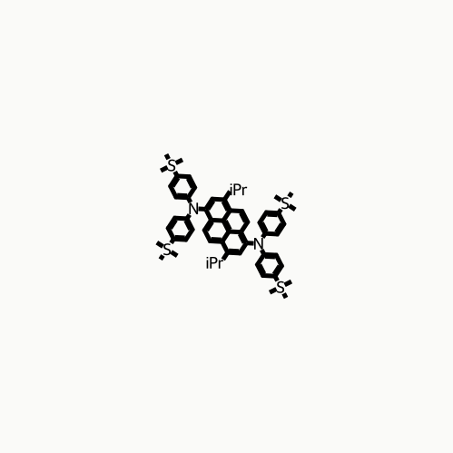 CC(C)c1cc(N(c2ccc(S(C)(C)C)cc2)c2ccc(S(C)(C)C)cc2)c2ccc3c(C(C)C)cc(N(c4ccc(S(C)(C)C)cc4)c4ccc(S(C)(C)C)cc4)c4ccc1c2c34